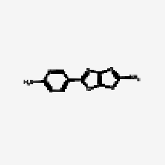 Nc1ccc(-c2nc3nc(N)sc3o2)cc1